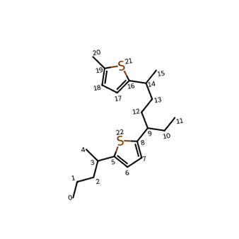 CCCC(C)c1ccc(C(CC)CCC(C)c2ccc(C)s2)s1